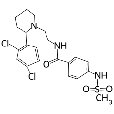 CS(=O)(=O)Nc1ccc(C(=O)NCCN2CCCCC2c2ccc(Cl)cc2Cl)cc1